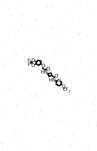 O=C(COc1ccc2c(c1)OC(F)(F)O2)NC12CC(C(=O)Nc3ccc(OC(F)(F)F)cn3)(C1)C2